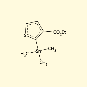 CCOC(=O)c1ccs[c]1[Sn]([CH3])([CH3])[CH3]